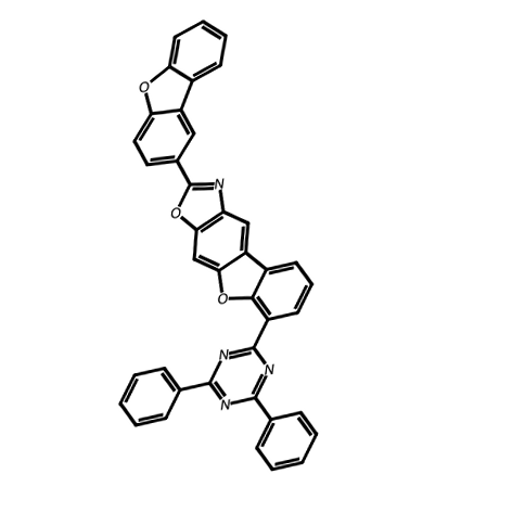 c1ccc(-c2nc(-c3ccccc3)nc(-c3cccc4c3oc3cc5oc(-c6ccc7oc8ccccc8c7c6)nc5cc34)n2)cc1